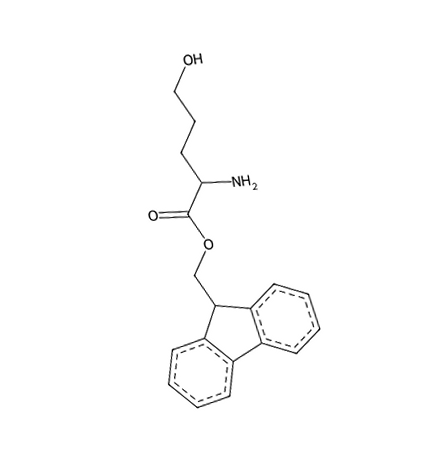 NC(CCCO)C(=O)OCC1c2ccccc2-c2ccccc21